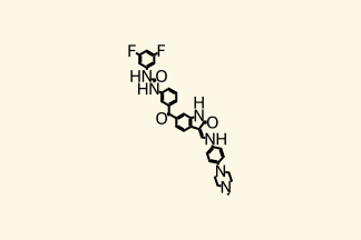 CN1CCN(c2ccc(NC=C3C(=O)Nc4cc(C(=O)c5cccc(NC(=O)Nc6cc(F)cc(F)c6)c5)ccc43)cc2)CC1